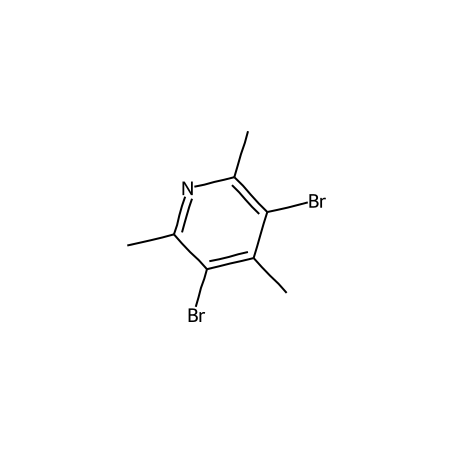 Cc1nc(C)c(Br)c(C)c1Br